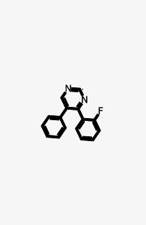 Fc1ccccc1-c1n[c]ncc1-c1ccccc1